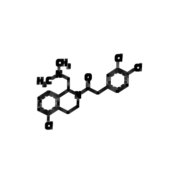 CN(C)CC1c2cccc(Cl)c2CCN1C(=O)Cc1ccc(Cl)c(Cl)c1